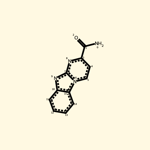 NC(=O)c1ccn2c(n1)nc1ccccc12